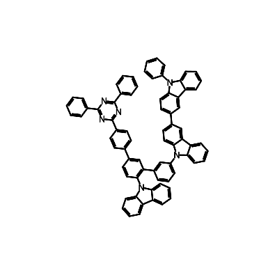 c1ccc(-c2nc(-c3ccccc3)nc(-c3ccc(-c4ccc(-n5c6ccccc6c6ccccc65)c(-c5cccc(-n6c7ccccc7c7cc(-c8ccc9c(c8)c8ccccc8n9-c8ccccc8)ccc76)c5)c4)cc3)n2)cc1